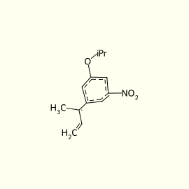 C=C[C](C)c1cc(OC(C)C)cc([N+](=O)[O-])c1